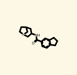 O=C(NC1CC2CCN(C2)C1)c1ccc2c(c1)CCC2